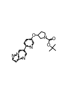 CC(C)(C)OC(=O)N1CCC(Oc2ccc(-c3cnc4ccnn4c3)nc2)C1